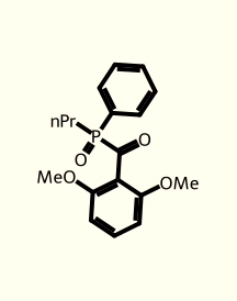 CCCP(=O)(C(=O)c1c(OC)cccc1OC)c1ccccc1